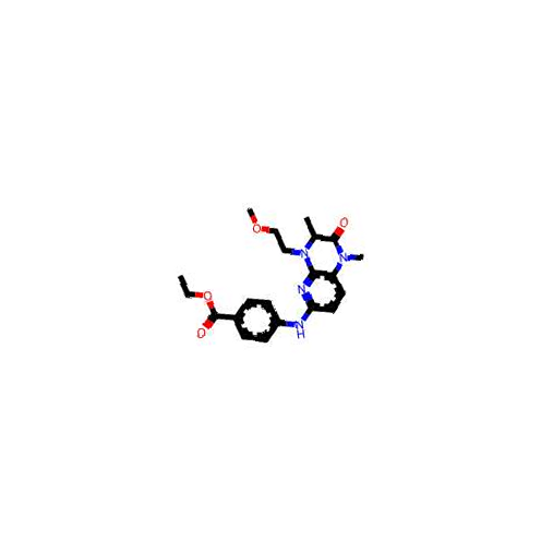 CCOC(=O)c1ccc(Nc2ccc3c(n2)N(CCOC)C(C)C(=O)N3C)cc1